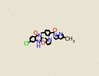 Cc1cnc2c(c1)CCN2C(=O)c1ccc(CN2C(=O)c3ccc(Cl)cc3NC(=O)[C@H]2Cc2ccccn2)cc1